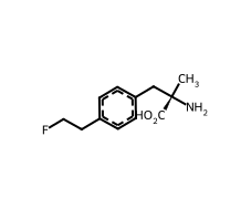 C[C@](N)(Cc1ccc(CCF)cc1)C(=O)O